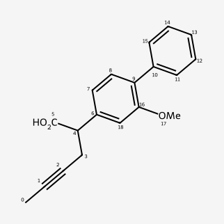 CC#CCC(C(=O)O)c1ccc(-c2ccccc2)c(OC)c1